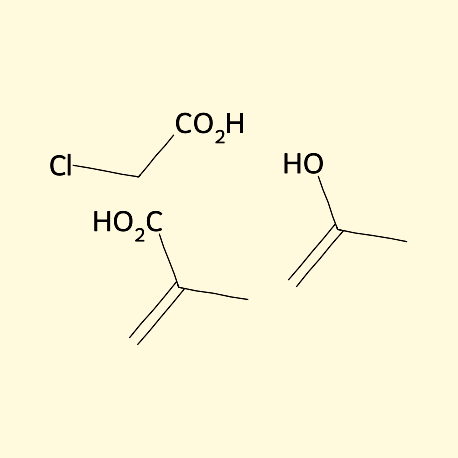 C=C(C)C(=O)O.C=C(C)O.O=C(O)CCl